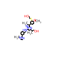 COc1ccc(-c2c(C)nn3c(NCc4cccc(-c5nccn5C)c4)cc(C(C)CO)nc23)cc1SCCO